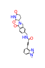 Cn1cnc2c(C#CC(=O)NCc3ccc4c(c3)CN(C3CCC(=O)NC3=O)C4=O)cccc21